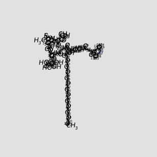 CC[C@@]1(O)C(=O)OCc2c1cc1n(c2=O)Cc2c-1nc1cc(F)c(C)c3c1c2[C@@H](NC(=O)OCc1ccc(O[C@@H]2O[C@H](C(=O)O)[C@@H](O)[C@H](O)[C@H]2O)c(CNC(=O)CCNC(=O)[C@H](CNC(=O)CCOCCOCCOCCOCCOCCOCCOCCOCCOCCOCCOCCOC)NC(=O)C2CCC4(CC2)CCN(C(=O)CCCCC(=O)N2Cc5ccccc5/C=C\c5ccccc52)CC4)c1)CC3